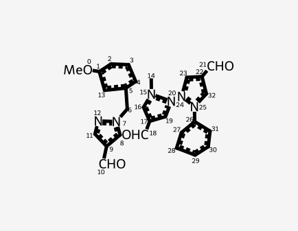 COc1cccc(Cn2cc(C=O)cn2)c1.Cn1cc(C=O)cn1.O=Cc1cnn(-c2ccccc2)c1